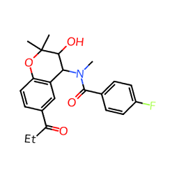 CCC(=O)c1ccc2c(c1)C(N(C)C(=O)c1ccc(F)cc1)C(O)C(C)(C)O2